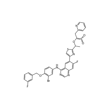 CC(OC(Cc1ccccn1)=S(=O)=O)c1nc(-c2cc3c(Nc4ccc(OCc5cccc(F)c5)c(Br)c4)ncnc3cc2F)cs1